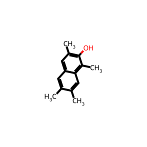 Cc1cc2cc(C)c(O)c(C)c2cc1C